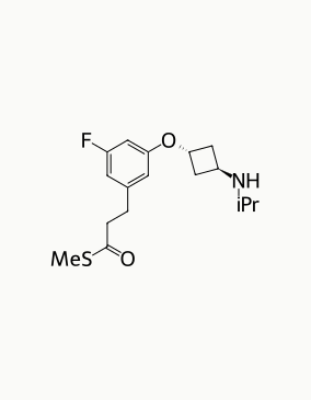 CSC(=O)CCc1cc(F)cc(O[C@H]2C[C@H](NC(C)C)C2)c1